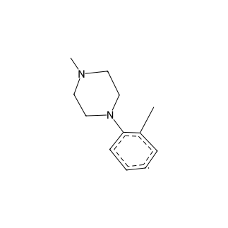 Cc1c[c]ccc1N1CCN(C)CC1